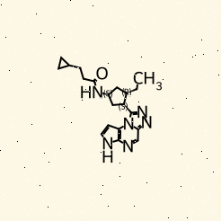 CC[C@@H]1C[C@H](NC(=O)CCC2CC2)C[C@@H]1c1nnc2cnc3[nH]ccc3n12